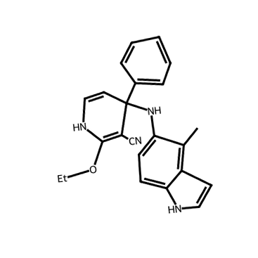 CCOC1=C(C#N)C(Nc2ccc3[nH]ccc3c2C)(c2ccccc2)C=CN1